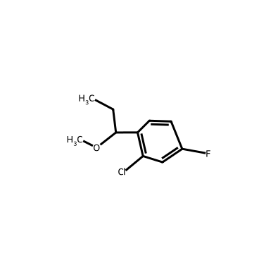 CCC(OC)c1ccc(F)cc1Cl